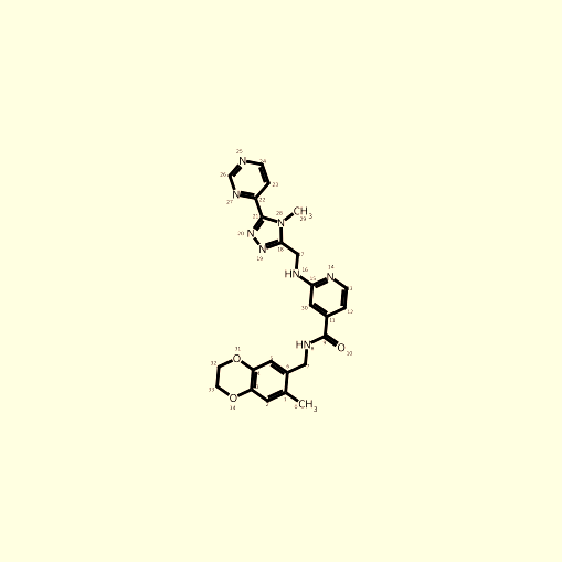 Cc1cc2c(cc1CNC(=O)c1ccnc(NCc3nnc(-c4ccncn4)n3C)c1)OCCO2